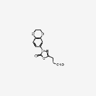 O=CCCc1nn(-c2ccc3c(c2)OCCO3)c(=O)o1